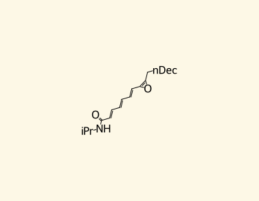 CCCCCCCCCCCC1=C(/C=C/C=C/C=C/C(=O)NC(C)C)O1